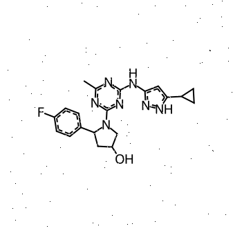 Cc1nc(Nc2cc(C3CC3)[nH]n2)nc(N2CC(O)CC2c2ccc(F)cc2)n1